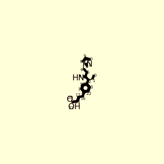 CC[C@H](C(=N)CCn1cccn1)c1ccc(C/C=C/C(=O)O)cc1